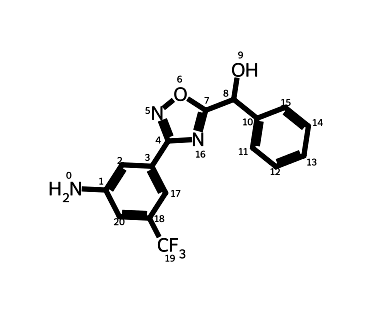 Nc1cc(-c2noc(C(O)c3ccccc3)n2)cc(C(F)(F)F)c1